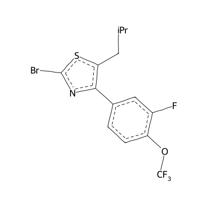 CC(C)Cc1sc(Br)nc1-c1ccc(OC(F)(F)F)c(F)c1